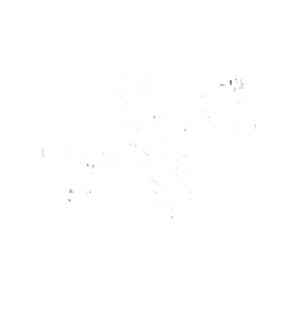 CC[Si](C#Cc1c2cc3ccccc3cc2c(C#C[Si](CC)(CC)CC)c2cc3ccccc3cc12)(CC)CC